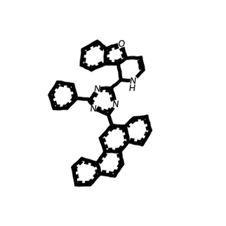 C1=Cc2oc3ccccc3c2C(c2nc(-c3ccccc3)nc(-c3cc4c5ccccc5ccc4c4ccccc34)n2)N1